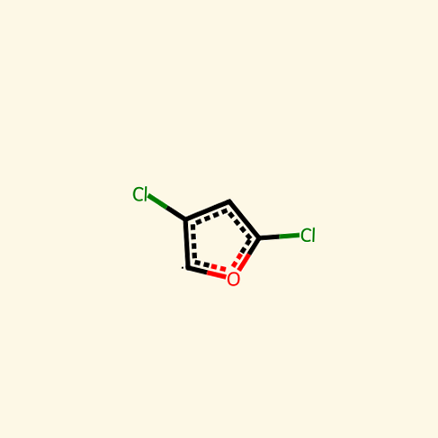 Clc1[c]oc(Cl)c1